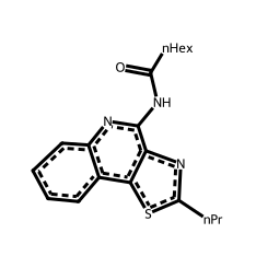 CCCCCCC(=O)Nc1nc2ccccc2c2sc(CCC)nc12